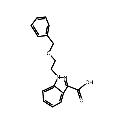 O=C(O)c1nn(CCOCc2ccccc2)c2ccccc12